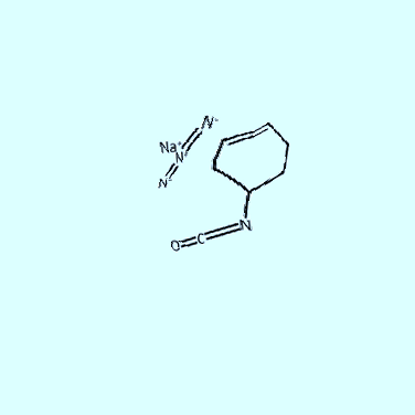 O=C=NC1CC=CCC1.[N-]=[N+]=[N-].[Na+]